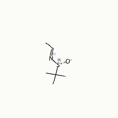 C/C=N/[S@+]([O-])C(C)(C)C